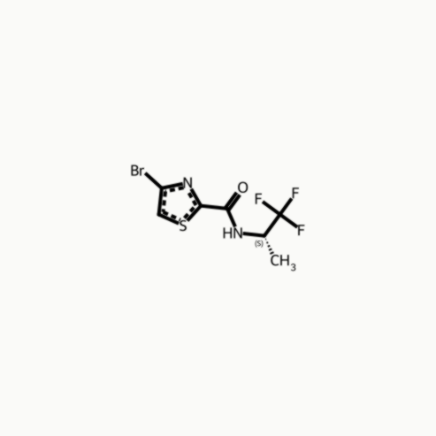 C[C@H](NC(=O)c1nc(Br)cs1)C(F)(F)F